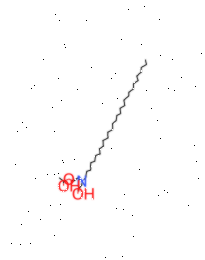 CCCCCCCCCCCCCCCCCCCCCCCCCCCCCCN(CCO)CCOC(C)O